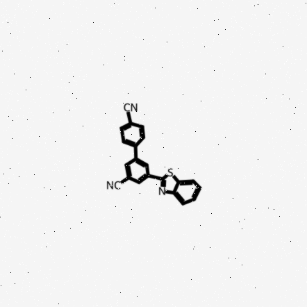 N#Cc1ccc(-c2cc(C#N)cc(-c3nc4ccccc4s3)c2)cc1